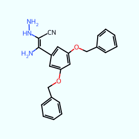 N#C/C(NN)=C(/N)c1cc(OCc2ccccc2)cc(OCc2ccccc2)c1